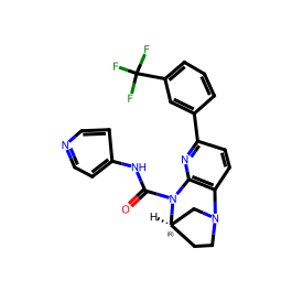 O=C(Nc1ccncc1)N1c2nc(-c3cccc(C(F)(F)F)c3)ccc2N2CC[C@@H]1C2